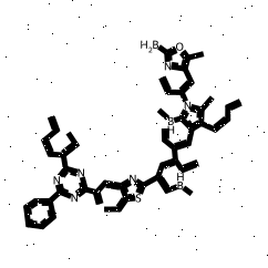 Bc1nc(/C=C(\C=C)n2c(C)c(/C=C\C=C)c(/C=C(C=C)/C(C=C)=C/C(=C\BC)c3nc(=C/C(=C)c4nc(C(/C=C\C=C)=C/C)nc(-c5ccccc5)n4)/c(=C\C)s3)c2BC)c(C)o1